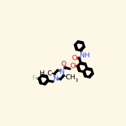 C[C@@H]1CN(Cc2ccc(F)cc2)[C@@H](C)CN1C(=O)COc1cc2ccccc2cc1C(=O)Nc1ccccc1